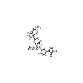 Cc1ccc2c(N3CCN(CC(O)c4cccc(N5CCNC5=O)c4)CC3)cccc2n1.Cl.Cl